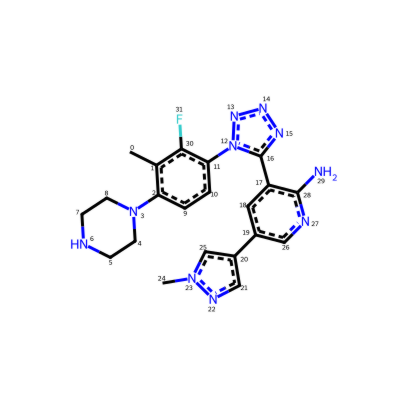 Cc1c(N2CCNCC2)ccc(-n2nnnc2-c2cc(-c3cnn(C)c3)cnc2N)c1F